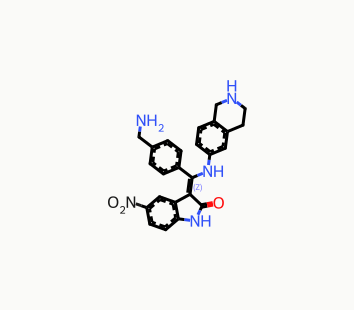 NCc1ccc(/C(Nc2ccc3c(c2)CCNC3)=C2/C(=O)Nc3ccc([N+](=O)[O-])cc32)cc1